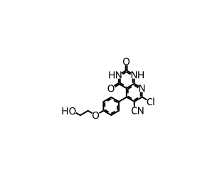 N#Cc1c(Cl)nc2[nH]c(=O)[nH]c(=O)c2c1-c1ccc(OCCO)cc1